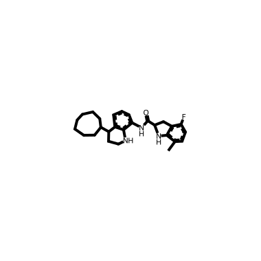 Cc1ccc(F)c2c1NC(C(=O)Nc1cccc3c1NCCC3C1CCCCCCC1)C2